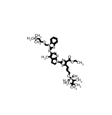 CCOC(=O)c1nc(N2CCc3c2nnc(/N=c2\sc4ccccc4n2COCC[Si](C)(C)C)c3C)sc1/C=C/CO[Si](C)(C)C(C)C(C)(C)C